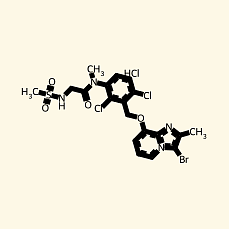 Cc1nc2c(OCc3c(Cl)ccc(N(C)C(=O)CNS(C)(=O)=O)c3Cl)cccn2c1Br.Cl